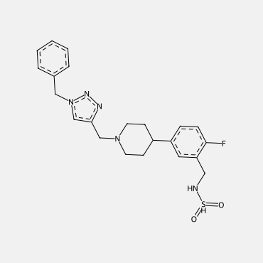 O=[SH](=O)NCc1cc(C2CCN(Cc3cn(Cc4ccccc4)nn3)CC2)ccc1F